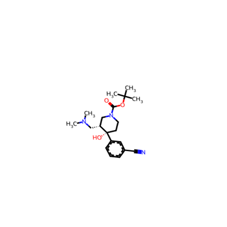 CN(C)C[C@@H]1CN(C(=O)OC(C)(C)C)CC[C@@]1(O)c1cccc(C#N)c1